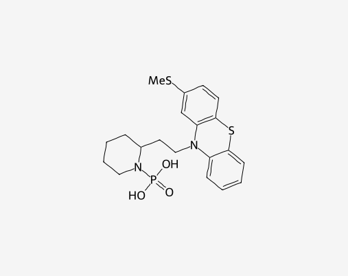 CSc1ccc2c(c1)N(CCC1CCCCN1P(=O)(O)O)c1ccccc1S2